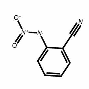 N#Cc1ccccc1[N][N+](=O)[O-]